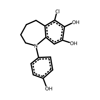 Oc1ccc(N2CCCCc3c2cc(O)c(O)c3Cl)cc1